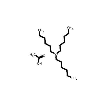 CC(=O)O.CCCCC[CH2][Sn]([CH2]CCCCC)[CH2]CCCCC